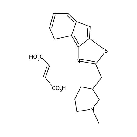 CN1CCCC(Cc2nc3c(s2)=CC2=CC=CCC=32)C1.O=C(O)C=CC(=O)O